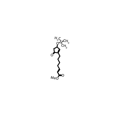 COC(=O)/C=C/CCCCC1=CC(O[Si](C)(C)C)CC1=O